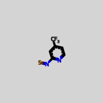 FC(F)(F)c1ccnc(N=S)c1